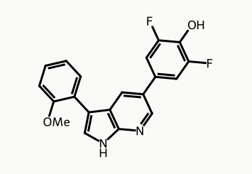 COc1ccccc1-c1c[nH]c2ncc(-c3cc(F)c(O)c(F)c3)cc12